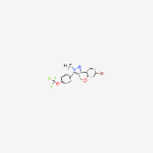 Cn1nc2c(c1-c1ccc(OC(F)(F)F)cc1)COc1cc(Br)ccc1-2